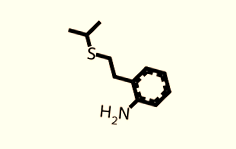 CC(C)SCCc1ccccc1N